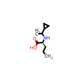 CCC[C@H](NC(C)C1CC1)C(=O)O